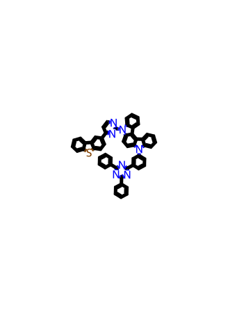 c1ccc(-c2nc(-c3ccccc3)nc(-c3cccc(-n4c5ccccc5c5c6c7ccccc7n(-c7nccc(-c8ccc9sc%10ccccc%10c9c8)n7)c6ccc54)c3)n2)cc1